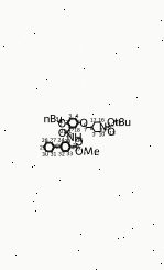 CCCCOc1ccc(OCC2CCN(C(=O)OC(C)(C)C)CC2)cc1C(=O)Nc1cc(-c2ccccc2)ccc1C(=O)OC